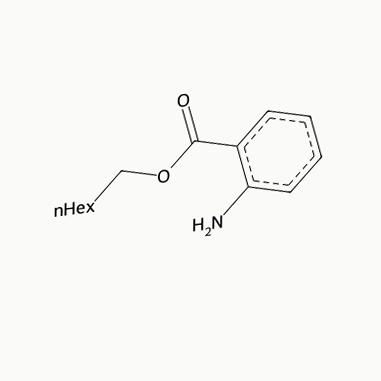 CCCCCCCOC(=O)c1ccccc1N